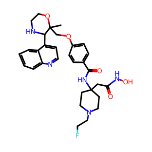 CC1(COc2ccc(C(=O)NC3(CC(=O)NO)CCN(CCF)CC3)cc2)OCCNC1c1ccnc2ccccc12